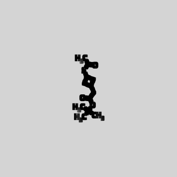 CC(=O)SC1CC(CC(=O)OC(C)(C)C)C1